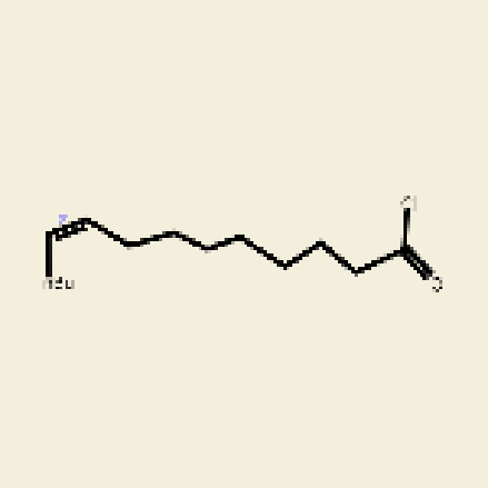 CCCC/C=C\CCCCCCCC(=O)Cl